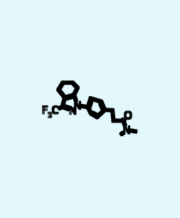 CN(C)C(=O)CCc1ccc(-n2nc(C(F)(F)F)c3c2CCCC3)cc1